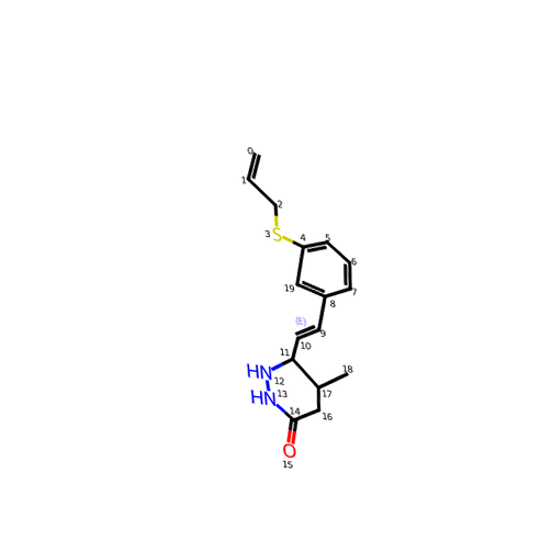 C=CCSc1cccc(/C=C/C2NNC(=O)CC2C)c1